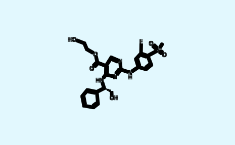 CS(=O)(=O)c1ccc(Nc2ncc(C(=O)OCCO)c(N[C@H](CO)c3ccccc3)n2)cc1F